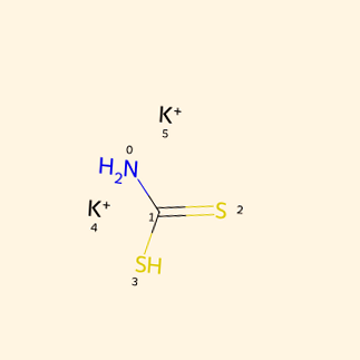 NC(=S)S.[K+].[K+]